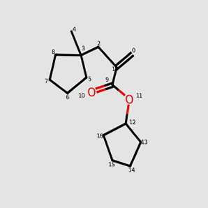 C=C(CC1(C)CCCC1)C(=O)OC1CCCC1